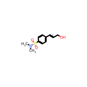 CN(C)S(=O)(=O)c1ccc(/C=C/CO)cc1